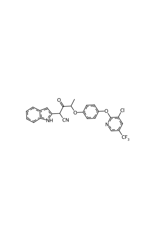 CC(Oc1ccc(Oc2ncc(C(F)(F)F)cc2Cl)cc1)C(=O)C(C#N)c1cc2ccccc2[nH]1